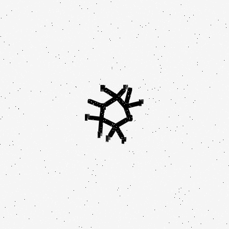 CN1C(F)(F)C(C)(F)OC(F)(F)C1(F)F